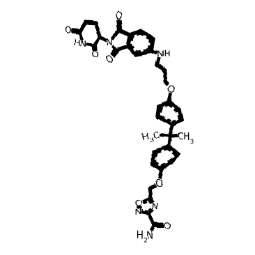 CC(C)(c1ccc(OCCCNc2ccc3c(c2)C(=O)N(C2CCC(=O)NC2=O)C3=O)cc1)c1ccc(OCc2nc(C(N)=O)no2)cc1